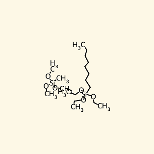 CCCCCCCC[Si](OCC)(OCC)OCC.CO[Si](C)(OC)OC